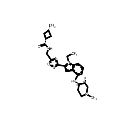 CN1CC[C@@H](Nc2cccc3c2cc(-c2noc(CNC(=O)[C@H]4C[C@@H](C)C4)n2)n3CC(F)(F)F)[C@@H](F)C1